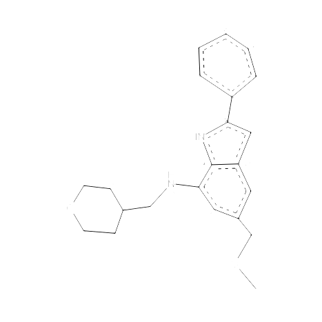 COCc1cc(NCC2CCOCC2)c2[nH]c(-c3ccccc3)cc2c1